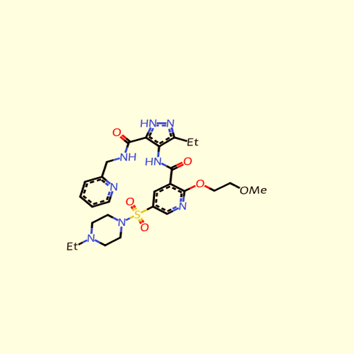 CCc1n[nH]c(C(=O)NCc2ccccn2)c1NC(=O)c1cc(S(=O)(=O)N2CCN(CC)CC2)cnc1OCCOC